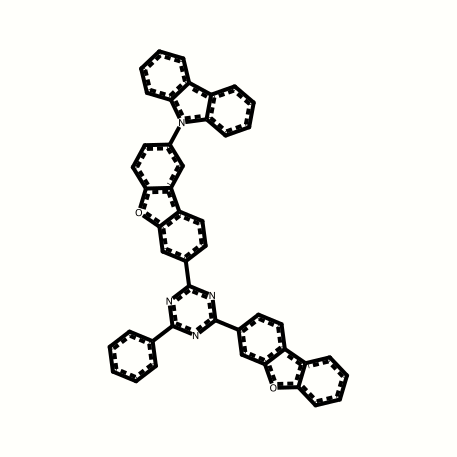 c1ccc(-c2nc(-c3ccc4c(c3)oc3ccccc34)nc(-c3ccc4c(c3)oc3ccc(-n5c6ccccc6c6ccccc65)cc34)n2)cc1